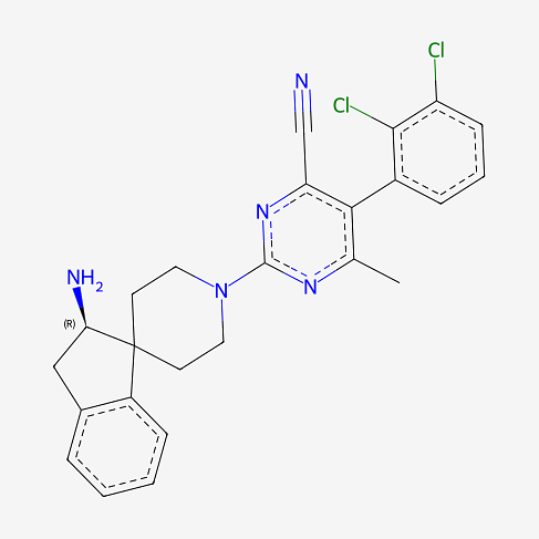 Cc1nc(N2CCC3(CC2)c2ccccc2C[C@H]3N)nc(C#N)c1-c1cccc(Cl)c1Cl